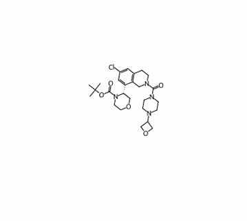 CC(C)(C)OC(=O)N1CCOC[C@H]1c1cc(Cl)cc2c1CN(C(=O)N1CCN(C3COC3)CC1)CC2